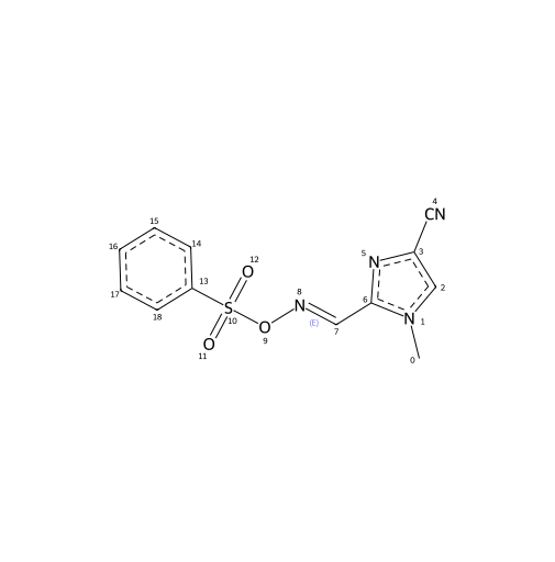 Cn1cc(C#N)nc1/C=N/OS(=O)(=O)c1ccccc1